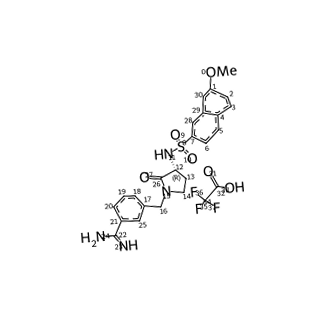 COc1ccc2ccc(S(=O)(=O)N[C@@H]3CCN(Cc4cccc(C(=N)N)c4)C3=O)cc2c1.O=C(O)C(F)(F)F